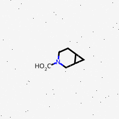 O=C(O)N1CCC2CC2C1